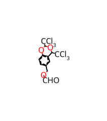 O=COCc1ccc2c(c1)C(C(Cl)(Cl)Cl)OC(C(Cl)(Cl)Cl)O2